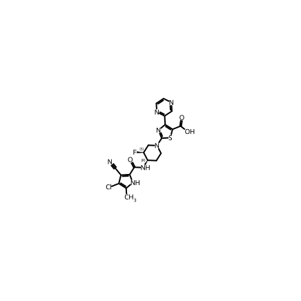 Cc1[nH]c(C(=O)N[C@@H]2CCN(c3nc(-c4cnccn4)c(C(=O)O)s3)C[C@@H]2F)c(C#N)c1Cl